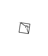 C1[C]2CC1P2